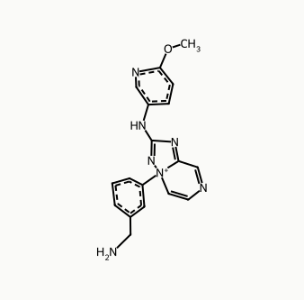 COc1ccc(NC2=N[N+]3(c4cccc(CN)c4)C=CN=CC3=N2)cn1